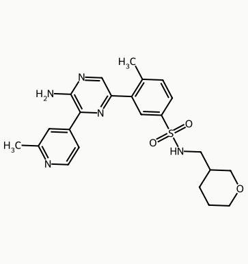 Cc1cc(-c2nc(-c3cc(S(=O)(=O)NCC4CCCOC4)ccc3C)cnc2N)ccn1